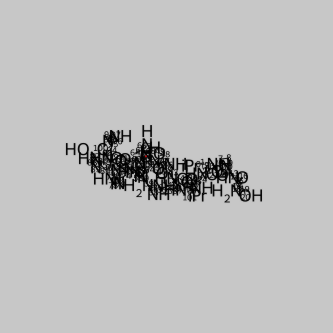 CC(C)C[C@H](NC(=O)[C@@H]1CCCN1C(=O)CNC(=O)[C@@H](N)CO)C(=O)NCC(=O)N[C@H](C(=O)N[C@@H](CCCNC(=N)N)C(=O)NCC(=O)N[C@@H](CO)C(=O)N[C@@H](Cc1c[nH]cn1)C(=O)N[C@@H](Cc1c[nH]cn1)C(=O)N[C@@H](Cc1c[nH]cn1)C(=O)N[C@@H](Cc1c[nH]cn1)C(=O)N[C@@H](Cc1c[nH]cn1)C(=O)O)C(C)C